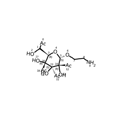 CC(=O)C(O)[C@H]1O[C@H](OCCN)[C@@](O)(C(C)=O)[C@](O)(C(C)=O)[C@@]1(O)C(C)=O